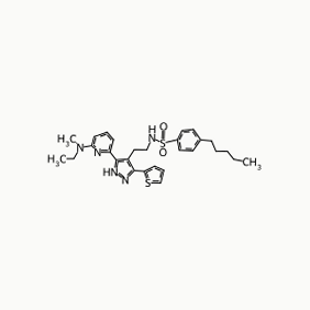 CCCCCc1ccc(S(=O)(=O)NCCc2c(-c3cccs3)n[nH]c2-c2cccc(N(C)CC)n2)cc1